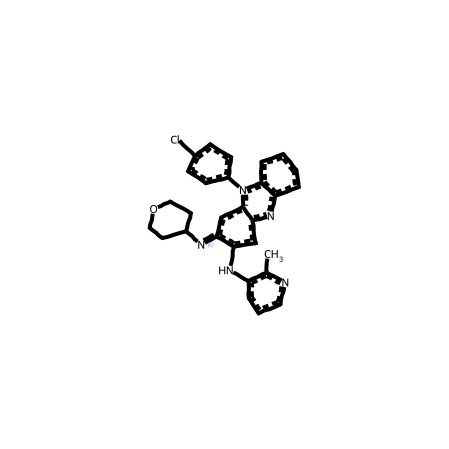 Cc1ncccc1Nc1cc2nc3ccccc3n(-c3ccc(Cl)cc3)c-2c/c1=N\C1CCOCC1